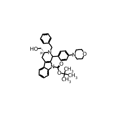 CC(C)(C)OC(=O)n1c2c(c3ccccc31)C[C@H](CO)N(Cc1ccccc1)C2c1ccc(N2CCOCC2)cc1